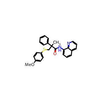 COc1ccc(SCC(C)(C(=O)Nc2cccc3cccnc23)c2ccccc2)cc1